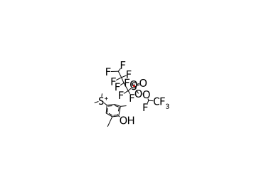 Cc1cc([S+](C)C)cc(C)c1O.O=S(=O)(OOC(F)C(F)(F)F)C(F)(F)C(F)(F)C(F)(F)C(F)F